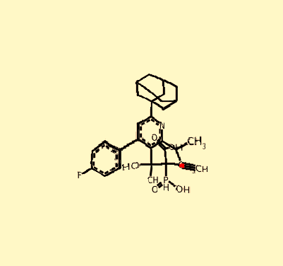 C#CC(C(=O)O)([PH](=O)O)C(C)(O)c1c(-c2ccc(F)cc2)cc(C23CC4CC(CC(C4)C2)C3)nc1C(C)C